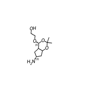 CC1(C)OC2C[C@@H](N)CC2[C@@H](OCCO)O1